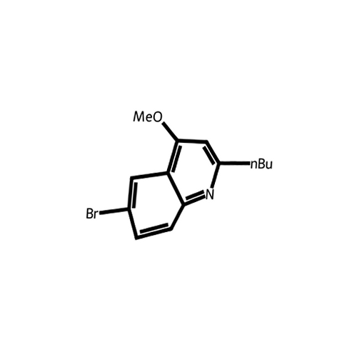 CCCCc1cc(OC)c2cc(Br)ccc2n1